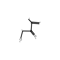 C=C(C)C(=O)CCl